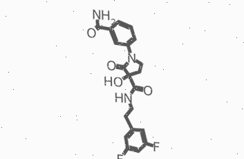 NC(=O)c1cccc(N2CCC(O)(C(=O)NCCc3cc(F)cc(F)c3)C2=O)c1